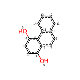 Oc1[c]cc(O)c2c1ccc1ccccc12